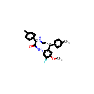 Cc1ccc([C@H](NCC[C@H](c2ccc(C(F)(F)F)cc2)c2ccc(F)c(OC(F)(F)F)c2)C(N)=O)cc1